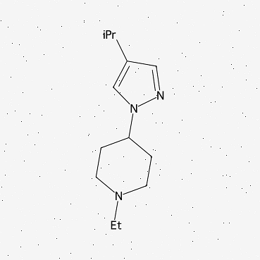 CCN1CCC(n2cc(C(C)C)cn2)CC1